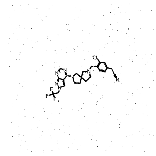 N#CCc1ccc(CN2CCC3(CCN(c4ncnc5nn(CC(F)(F)F)cc45)C3)C2)c(Cl)c1